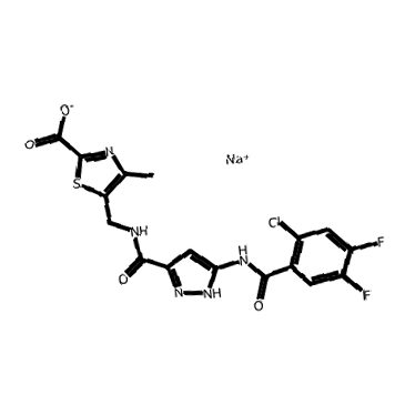 Cc1nc(C(=O)[O-])sc1CNC(=O)c1cc(NC(=O)c2cc(F)c(F)cc2Cl)[nH]n1.[Na+]